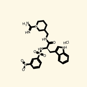 Cl.N=C(N)N1CCCC(CNC(=O)[C@@H](Cc2c[nH]c3ccccc23)NS(=O)(=O)c2cccc([N+](=O)[O-])c2)C1